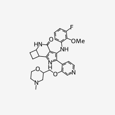 COc1c(F)cccc1Nc1c(-c2ccncc2OCC2CN(C)CCO2)[nH]c2c1C(=O)NC1CCC21